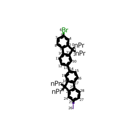 CCCC1(CCC)c2cc(Br)ccc2-c2ccc(-c3ccc4c(c3)C(CCC)(CCC)c3cc(I)ccc3-4)cc21